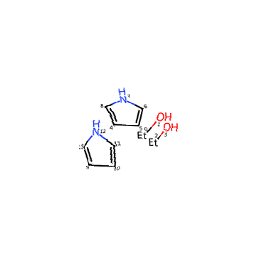 CCO.CCO.c1cc[nH]c1.c1cc[nH]c1